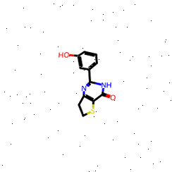 O=c1[nH]c(-c2cccc(O)c2)nc2c1SCC2